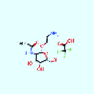 CC(=O)N[C@H]1[C@H](OCCN)O[C@H](CO)[C@@H](O)[C@@H]1O.O=C(O)C(F)(F)F